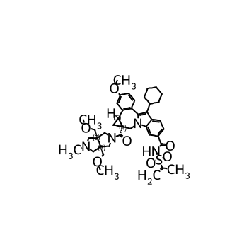 C=C(C)S(=O)(=O)NC(=O)c1ccc2c(C3CCCCC3)c3n(c2c1)C[C@@]1(C(=O)N2C[C@]4(COC)CN(C)C[C@]4(COC)C2)C[C@H]1c1cc(OC)ccc1-3